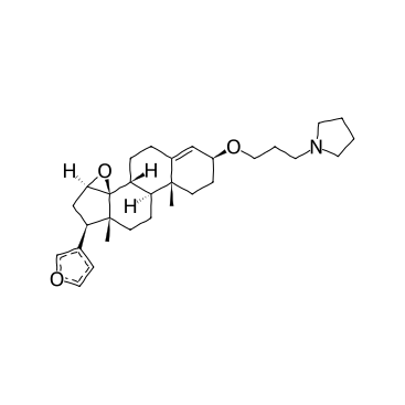 C[C@]12CC[C@H](OCCCN3CCCC3)C=C1CC[C@@H]1[C@@H]2CC[C@]2(C)[C@@H](c3ccoc3)C[C@H]3O[C@]132